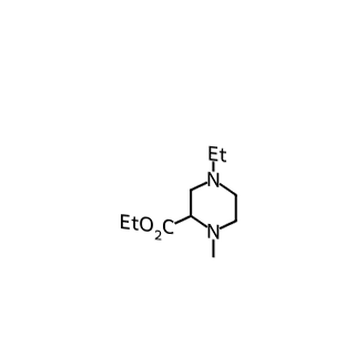 CCOC(=O)C1CN(CC)CCN1C